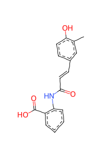 Cc1cc(/C=C/C(=O)Nc2ccccc2C(=O)O)ccc1O